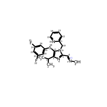 CC(C)c1nc(/C=N/O)n(Cc2ccccn2)c1Sc1cc(F)cc(F)c1